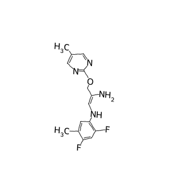 Cc1cnc(OC/C(N)=C/Nc2cc(C)c(F)cc2F)nc1